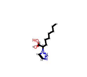 CCCCCCCC(C(=O)O)n1ccnn1